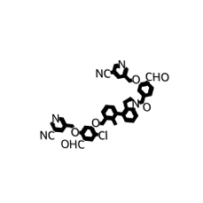 Cc1c(COc2cc(OCc3cncc(C#N)c3)c(C=O)cc2Cl)cccc1-c1cccc2c1CCN2C(=O)c1ccc(C=O)c(OCc2cncc(C#N)c2)c1